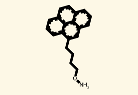 NOCCCCc1cc2cccc3ccc4cccc1c4c32